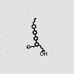 C=CCCC1CCC(c2ccc(-c3ccc(-c4cc(CCCOC)cc(CCCC(=C)CO)c4)cc3)cc2)CC1